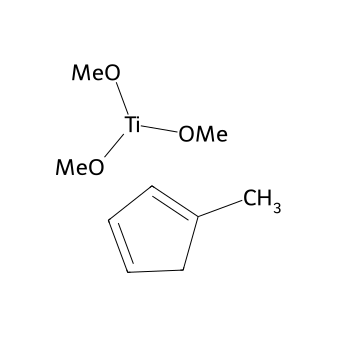 CC1=CC=CC1.C[O][Ti]([O]C)[O]C